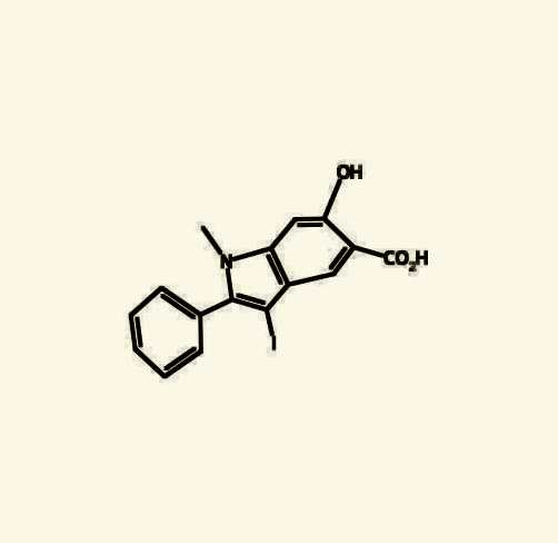 Cn1c(-c2ccccc2)c(I)c2cc(C(=O)O)c(O)cc21